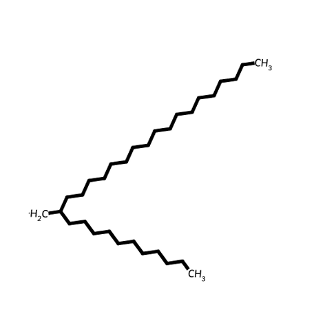 [CH2]C(CCCCCCCCCCC)CCCCCCCCCCCCCCCCCC